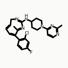 CC1=N\C(NC2CCN(c3ccnc(C)n3)CC2)=N/C/C=C/C=C\1c1ccc(F)cc1Cl